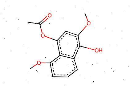 COc1cc(OC(C)=O)c2c(OC)cccc2c1O